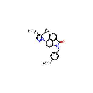 COc1ccc(CN2C(=O)c3cccc4c(-n5ncc(C(=O)O)c5C5CC5)ccc2c34)cc1